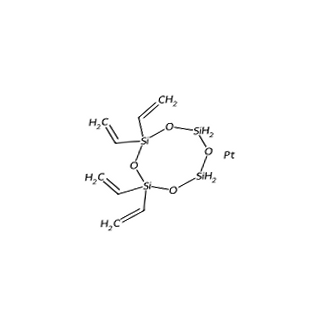 C=C[Si]1(C=C)O[SiH2]O[SiH2]O[Si](C=C)(C=C)O1.[Pt]